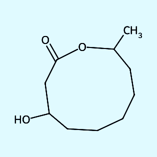 CC1CCCCCC(O)CC(=O)O1